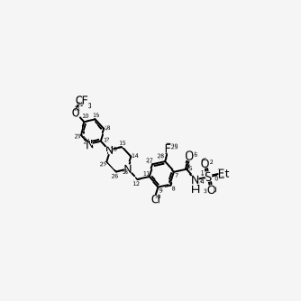 CCS(=O)(=O)NC(=O)c1cc(Cl)c(CN2CCN(c3ccc(OC(F)(F)F)cn3)CC2)cc1F